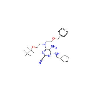 CC(C)(C)[Si](C)(C)OCCN(CCOCc1ccccc1)c1nc(C#N)nc(NCC2CCCC2)c1N